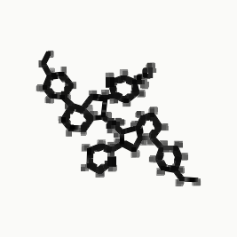 CCc1ccc(-c2cccc3c2C=C(c2ccccn2)[CH]3[Zr+2][CH]2C(c3ccccn3)=Cc3c(-c4ccc(CC)cc4)cccc32)cc1.[Cl-].[Cl-]